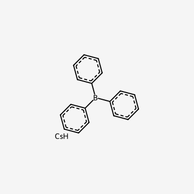 [CsH].c1ccc(B(c2ccccc2)c2ccccc2)cc1